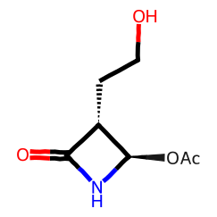 CC(=O)O[C@H]1NC(=O)[C@@H]1CCO